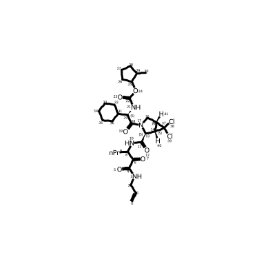 C=CCNC(=O)C(=O)C(CCC)NC(=O)[C@@H]1[C@@H]2[C@H](CN1C(=O)[C@@H](NC(=O)OC1CCCC1C)C1CCCCC1)C2(Cl)Cl